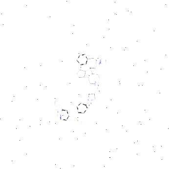 CCc1cc([S+]([O-])c2ccc(N3CC(CN4CCC(C5(C6CCCC6)CN(CC)Cc6ccccc65)CC4)C3)cc2)ccn1